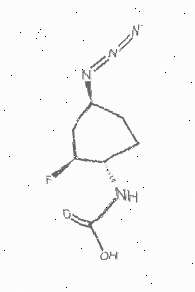 [N-]=[N+]=N[C@H]1CC[C@H](NC(=O)O)[C@@H](F)C1